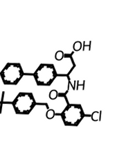 CC(C)(C)c1ccc(COc2ccc(Cl)cc2C(=O)NC(CC(=O)O)c2ccc(-c3ccccc3)cc2)cc1